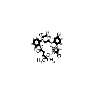 CC(C)(C)CCC(=O)Oc1c(F)cccc1N(CC(=O)Nc1cc(Cl)ccc1-n1cc(Cl)nn1)C(=O)CCl